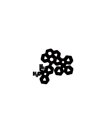 CC1(C)c2ccccc2-c2ccc(N(c3ccc4c(c3)C(c3ccccc3)(c3ccccc3)c3ccccc3-4)c3cccc4c3-c3ccccc3CC4)cc21